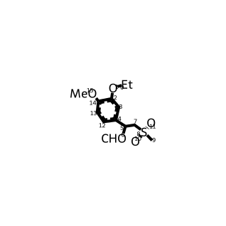 CCOc1cc(C(C=O)CS(C)(=O)=O)ccc1OC